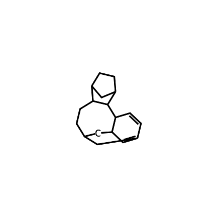 C1=CC2C3C=C1CC(CCC1C4CCC(C4)C21)C3